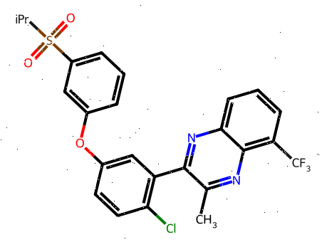 Cc1nc2c(C(F)(F)F)cccc2nc1-c1cc(Oc2cccc(S(=O)(=O)C(C)C)c2)ccc1Cl